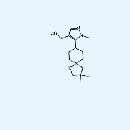 Cn1ncc(CO)c1C1CCC2(CC1)CC(C)(C)CO2